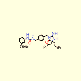 COc1cccc(NC(=O)NCc2ccc(CN3C(=N)NC(CCC(C)C)(CCC(C)C)C3=O)cc2)c1